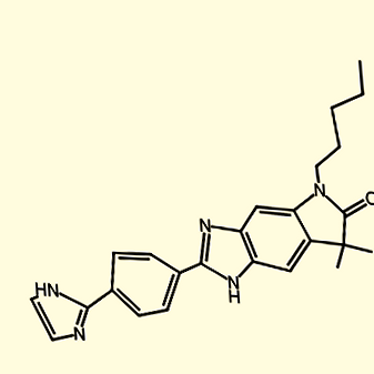 CCCCCN1C(=O)C(C)(C)c2cc3[nH]c(-c4ccc(-c5ncc[nH]5)cc4)nc3cc21